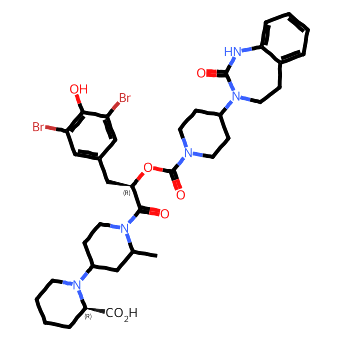 CC1CC(N2CCCC[C@@H]2C(=O)O)CCN1C(=O)[C@@H](Cc1cc(Br)c(O)c(Br)c1)OC(=O)N1CCC(N2CCc3ccccc3NC2=O)CC1